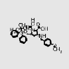 COc1ccc(CN[C@H]2C[C@@H](CO[Si](c3ccccc3)(c3ccccc3)C(C)(C)C)N(C(=O)O)[C@H]2C(=O)O)cc1